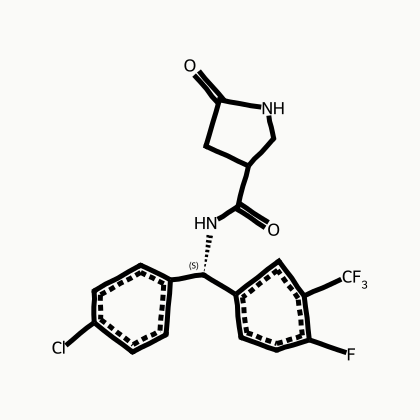 O=C1CC(C(=O)N[C@@H](c2ccc(Cl)cc2)c2ccc(F)c(C(F)(F)F)c2)CN1